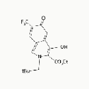 CCOC(=O)c1c(O)c2cc(=O)c(C(F)(F)F)cc-2cn1CC(C)(C)C